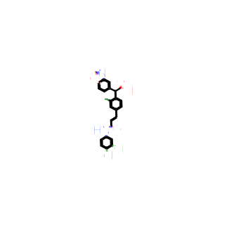 O=C(C=Cc1ccc(C(C(=O)O)c2ccc3ocnc3c2)c(Cl)c1)Nc1ccc(Cl)c(Cl)c1